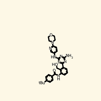 CC(C)(C)c1ccc(C(=O)Nc2cccc(-c3nc(N)nc(Nc4ccc(N5CCOCC5)nc4)n3)c2CO)cc1